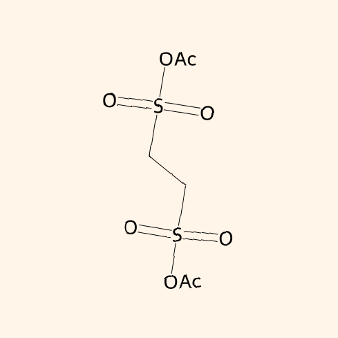 CC(=O)OS(=O)(=O)CCS(=O)(=O)OC(C)=O